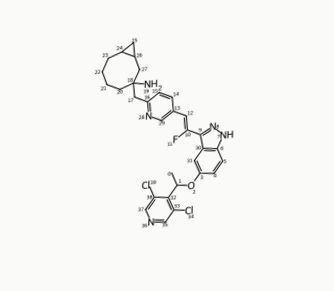 CC(Oc1ccc2[nH]nc(/C(F)=C/c3ccc(CC4(N)CCCCC5CC5C4)nc3)c2c1)c1c(Cl)cncc1Cl